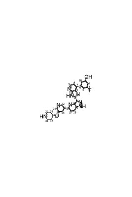 Oc1cc(F)cc(-c2ccnc3[nH]c(-c4n[nH]c5ccc(-c6cncc(OC7CCNCC7)c6)nc45)nc23)c1